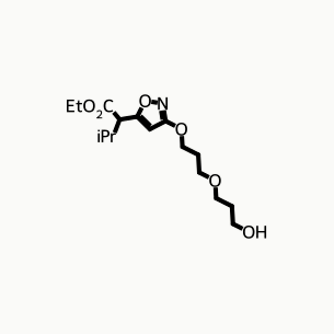 CCOC(=O)C(c1cc(OCCCOCCCO)no1)C(C)C